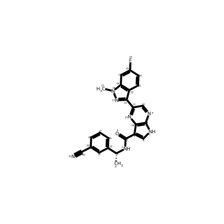 C[C@@H](NC(=O)c1c[nH]c2ncc(-c3nn(C)c4cc(F)ccc34)nc12)c1cccc(C#N)c1